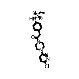 CCS(=O)(=O)Nc1ccc(CC(=O)N2CCN(c3ccc(Cl)nn3)CC2)cc1